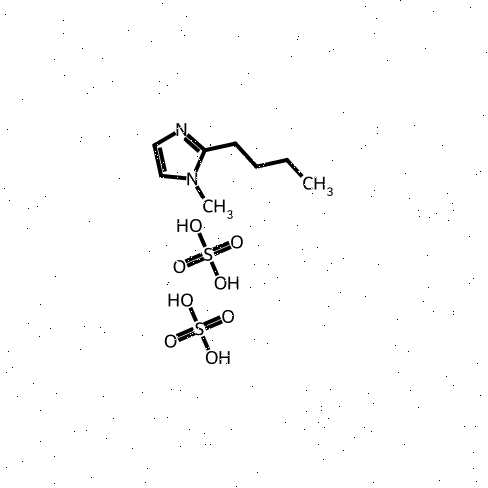 CCCCc1nccn1C.O=S(=O)(O)O.O=S(=O)(O)O